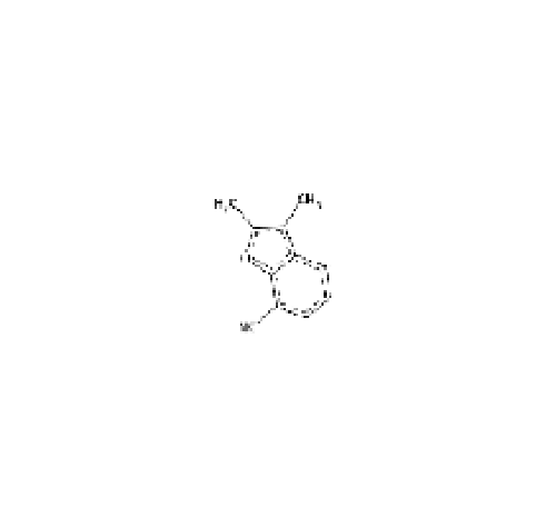 Cc1oc2c(C#N)cc[c]c2c1C